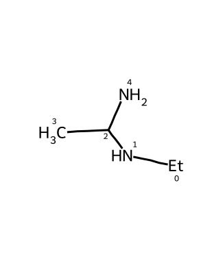 CCNC(C)N